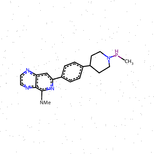 CNc1nc(-c2ccc(C3CCN(PC)CC3)cc2)cc2nccnc12